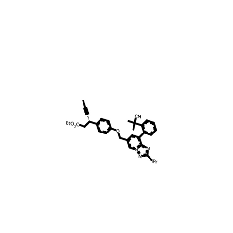 CC#C[C@@H](CC(=O)OCC)c1ccc(OCc2cc(-c3ccccc3C(C)(C)C#N)c3nc(C(C)C)nn3c2)cc1